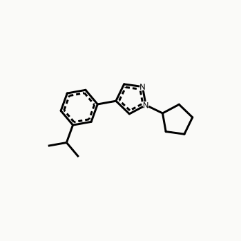 CC(C)c1cccc(-c2cnn(C3CCCC3)c2)c1